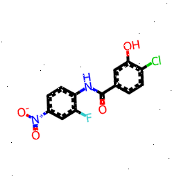 O=C(Nc1ccc([N+](=O)[O-])cc1F)c1ccc(Cl)c(O)c1